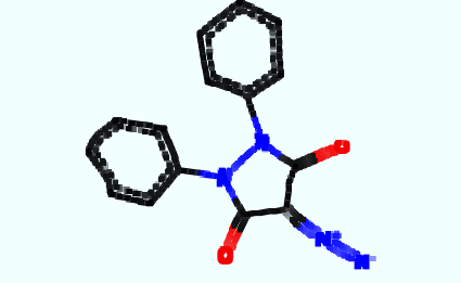 [N-]=[N+]=C1C(=O)N(c2ccccc2)N(c2ccccc2)C1=O